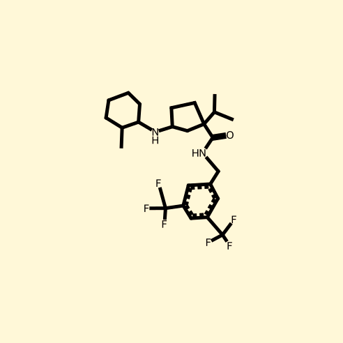 CC1CCCCC1NC1CCC(C(=O)NCc2cc(C(F)(F)F)cc(C(F)(F)F)c2)(C(C)C)C1